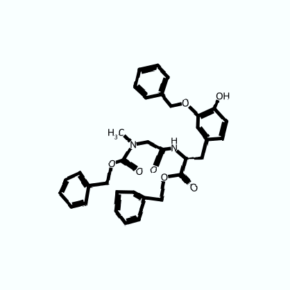 CN(CC(=O)N[C@@H](Cc1ccc(O)c(OCc2ccccc2)c1)C(=O)OCc1ccccc1)C(=O)OCc1ccccc1